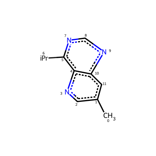 Cc1cnc2c(C(C)C)ncnc2c1